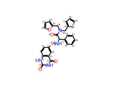 O=C([C@H](NSc1ccc2[nH]c(=O)[nH]c(=O)c2c1)c1ccccc1)N(Cc1ccco1)Cc1cccs1